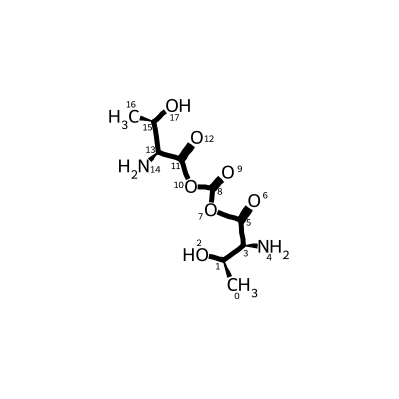 C[C@@H](O)[C@H](N)C(=O)OC(=O)OC(=O)[C@@H](N)[C@@H](C)O